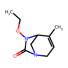 CCON1C(=O)N2CC=C(C)C1C2